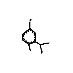 Cc1ccc(C(C)C)cc1C(F)F